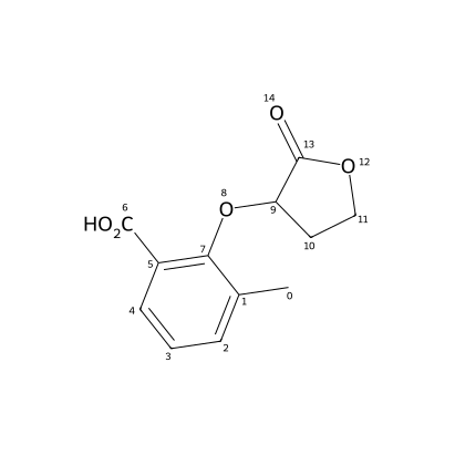 Cc1cccc(C(=O)O)c1OC1CCOC1=O